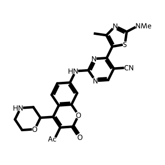 CNc1nc(C)c(-c2nc(Nc3ccc4c(C5CNCCO5)c(C(C)=O)c(=O)oc4c3)ncc2C#N)s1